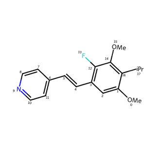 COc1cc(C=Cc2ccncc2)c(F)c(OC)c1C(C)C